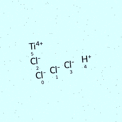 [Cl-].[Cl-].[Cl-].[Cl-].[H+].[Ti+4]